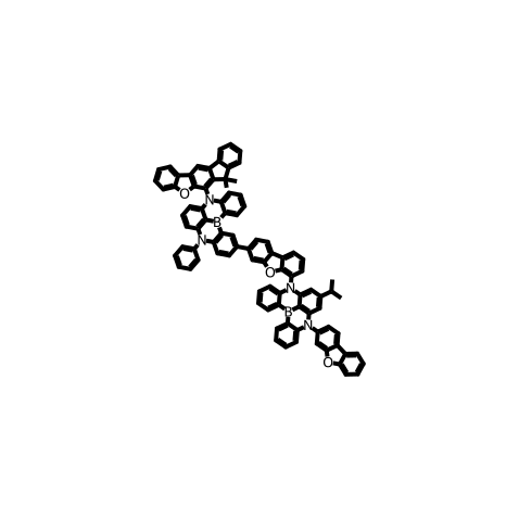 CC(C)c1cc2c3c(c1)N(c1cccc4c1oc1cc(-c5ccc6c(c5)B5c7ccccc7N(c7c8c(cc9c7oc7ccccc79)-c7ccccc7C8(C)C)c7cccc(c75)N6c5ccccc5)ccc14)c1ccccc1B3c1ccccc1N2c1ccc2c(c1)oc1ccccc12